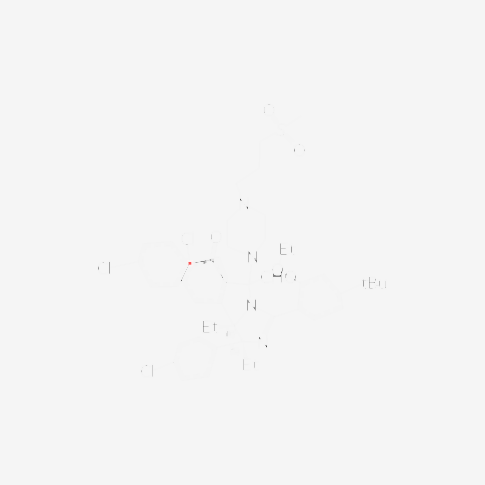 CCOc1cc(C(C)(C)C)ccc1C1=N[C@@](CC)(c2ccc(Cl)cc2)[C@@](CC)(c2ccc(Cl)cc2)N1C(C=O)(CC(=O)c1ccc(Cl)cc1)N1CCN(CCCS(C)(=O)=O)CC1